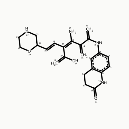 C=C(Nc1ccc2c(c1)CCC(=O)N2)C(=C)/C(N)=C(/C=C/C1CNCCO1)C(=C)O